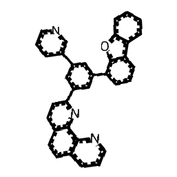 c1cncc(-c2cc(-c3ccc4ccc5cccnc5c4n3)cc(-c3cccc4c3oc3ccccc34)c2)c1